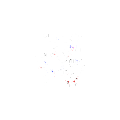 CCC1=C[C@@H]2C[N@](C1)Cc1c([nH]c3ccccc13)[C@@](C(=O)OC)(c1cc3c(cc1OC)N(C)[C@H]1[C@@](O)(C(=O)OC)[C@H](OC(C)=O)[C@]4(CC)C=CCN5CC[C@]31[C@@H]54)C2.O=NN(CCCl)C(=O)NC1CCCCC1